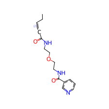 CC/C=C\CC(=O)NCCOCCNC(=O)c1cccnc1